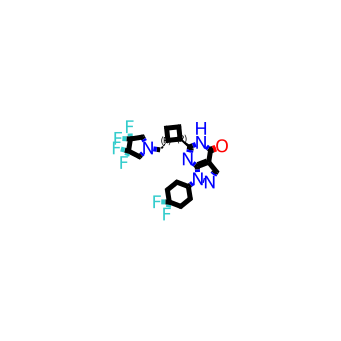 O=c1[nH]c([C@@H]2CC[C@H]2CN2CC(F)(F)C(F)(F)C2)nc2c1cnn2C1CCC(F)(F)CC1